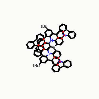 CC(C)(C)c1cc(-c2ccccc2)c(N2c3cc(-n4c5ccccc5c5ccccc54)ccc3B3c4ccc(-n5c6ccccc6c6ccccc65)cc4N(c4c(-c5ccccc5)cc(C(C)(C)C)cc4-c4ccccc4)c4cc(C5(c6ccccc6)c6ccccc6-c6ccccc65)cc2c43)c(-c2ccccc2)c1